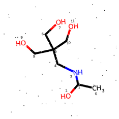 CC(O)NCC(CO)(CO)CO